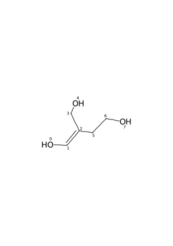 OC=C(CO)CCO